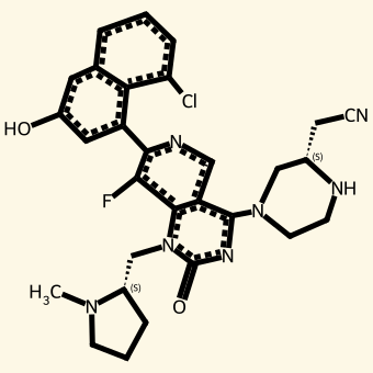 CN1CCC[C@H]1Cn1c(=O)nc(N2CCN[C@@H](CC#N)C2)c2cnc(-c3cc(O)cc4cccc(Cl)c34)c(F)c21